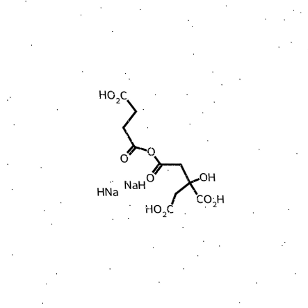 O=C(O)CCC(=O)OC(=O)CC(O)(CC(=O)O)C(=O)O.[NaH].[NaH]